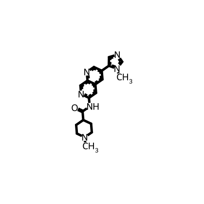 CN1CCC(C(=O)Nc2cc3cc(-c4cncn4C)cnc3cn2)CC1